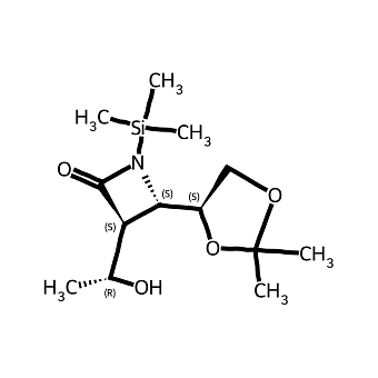 C[C@@H](O)[C@H]1C(=O)N([Si](C)(C)C)[C@@H]1[C@H]1COC(C)(C)O1